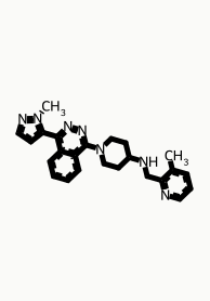 Cc1cccnc1CNC1CCN(c2nnc(-c3ccnn3C)c3ccccc23)CC1